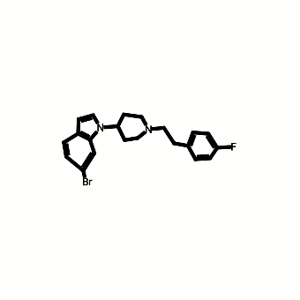 Fc1ccc(CCN2CCC(n3ccc4ccc(Br)cc43)CC2)cc1